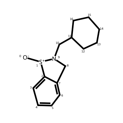 [O-][S+]1c2ccccc2CN1CC1CCCCC1